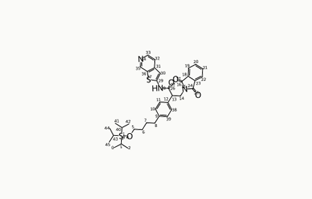 CC(C)[Si](OCCCCc1ccc(C(CN2C(=O)c3ccccc3C2=O)C(=O)Nc2cc3ccncc3s2)cc1)(C(C)C)C(C)C